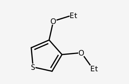 CCOc1cscc1OCC